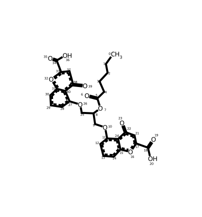 CCCCCC(=O)OC(COc1cccc2oc(C(=O)O)cc(=O)c12)COc1cccc2oc(C(=O)O)cc(=O)c12